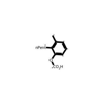 CCCCCc1c(C)cccc1OC(=O)O